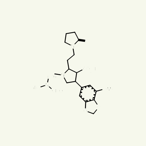 CCCCN(C=O)CCCC.COc1cc(C2CN(C)C(CCN3CCCC3=O)C2C(=O)O)cc2c1OCO2